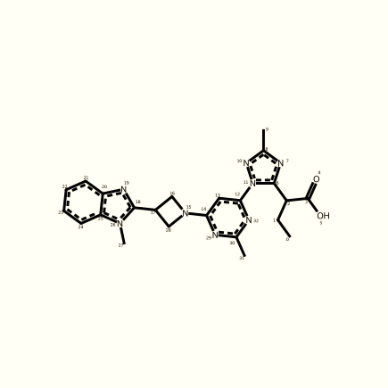 CCC(C(=O)O)c1nc(C)nn1-c1cc(N2CC(c3nc4ccccc4n3C)C2)nc(C)n1